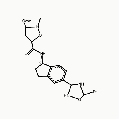 CCC1NC(c2ccc3c(c2)CC[C@H]3NC(=O)C2CC(OC)N(C)O2)NO1